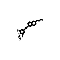 CCCCC1CCc2cc(C#Cc3cc(F)c(N=C=S)c(F)c3)ccc2C1